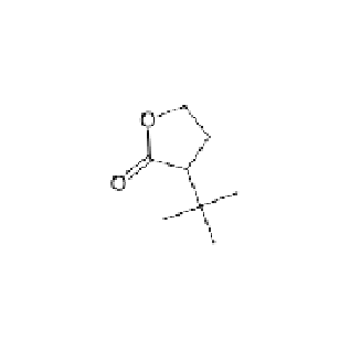 CC(C)(C)C1CCOC1=O